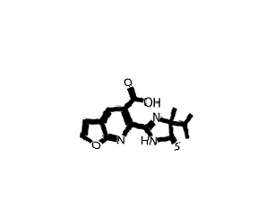 CC(C)C1(C)N=C(c2nc3occc3cc2C(=O)O)NC1=S